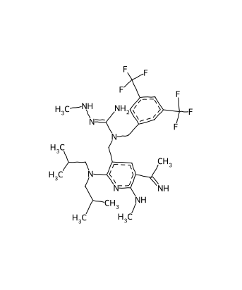 CN/N=C(\N)N(Cc1cc(C(F)(F)F)cc(C(F)(F)F)c1)Cc1cc(C(C)=N)c(NC)nc1N(CC(C)C)CC(C)C